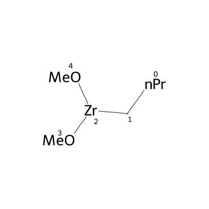 CCC[CH2][Zr]([O]C)[O]C